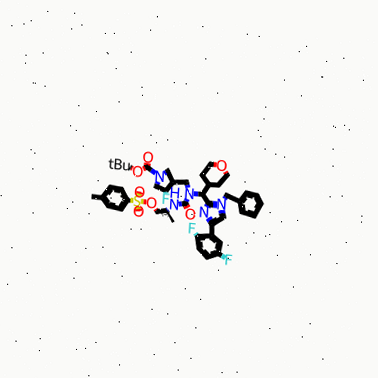 Cc1ccc(S(=O)(=O)OC[C@H](C)NC(=O)N(CC2CN(C(=O)OC(C)(C)C)CC2F)C(c2nc(-c3cc(F)ccc3F)cn2Cc2ccccc2)C2CCOCC2)cc1